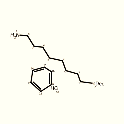 CCCCCCCCCCCCCCCCCCN.Cl.c1ccccc1